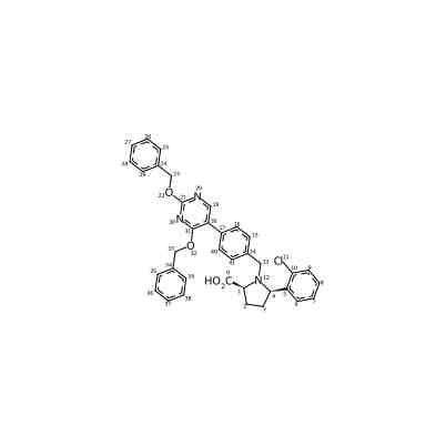 O=C(O)[C@@H]1CC[C@H](c2ccccc2Cl)N1Cc1ccc(-c2cnc(OCc3ccccc3)nc2OCc2ccccc2)cc1